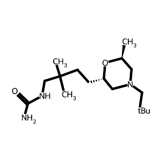 C[C@H]1CN(CC(C)(C)C)C[C@H](CCC(C)(C)CNC(N)=O)O1